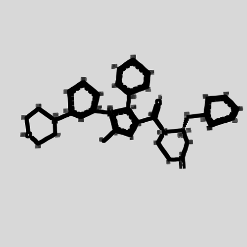 Cc1cc(C(=O)N2CCNC[C@H]2Cc2ccccc2)c(-c2ccccc2)n1-c1cccc(N2CCOCC2)c1